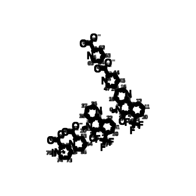 Cn1c(=O)c2c(C(F)(F)F)cccc2c2ncccc21.Cn1c(=O)c2c(C(F)(F)F)cccc2c2ncccc21.O=C([O-])c1ccccn1.O=C([O-])c1ccccn1.O=C([O-])c1ccccn1.O=C([O-])c1ccccn1.[Ir+4]